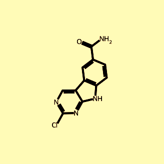 NC(=O)c1ccc2[nH]c3nc(Cl)ncc3c2c1